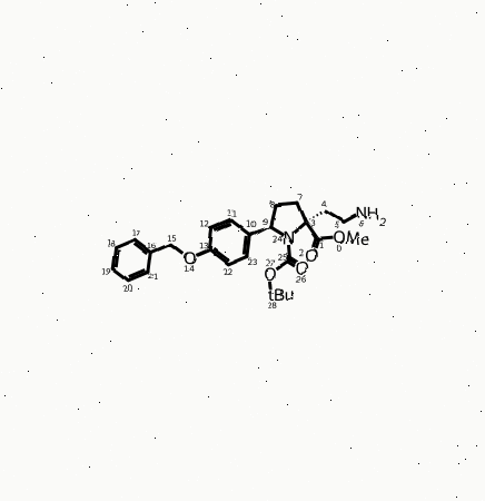 COC(=O)[C@]1(CCN)CC[C@H](c2ccc(OCc3ccccc3)cc2)N1C(=O)OC(C)(C)C